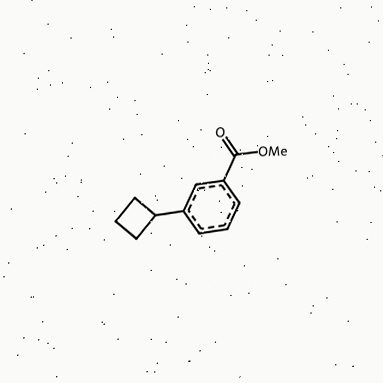 COC(=O)c1cccc(C2CCC2)c1